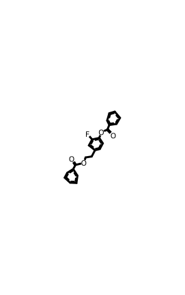 O=C(OCCc1ccc(OC(=O)c2ccccc2)c(F)c1)c1ccccc1